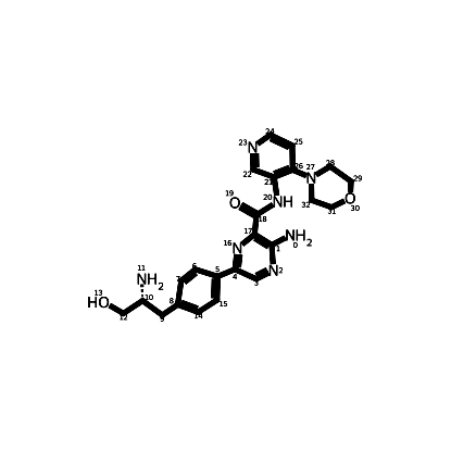 Nc1ncc(-c2ccc(C[C@@H](N)CO)cc2)nc1C(=O)Nc1cnccc1N1CCOCC1